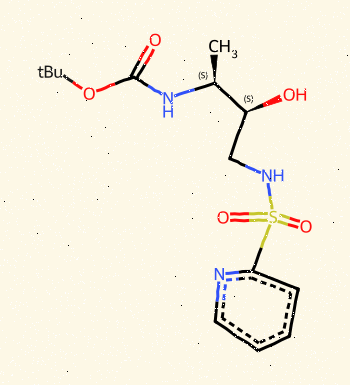 C[C@H](NC(=O)OC(C)(C)C)[C@@H](O)CNS(=O)(=O)c1ccccn1